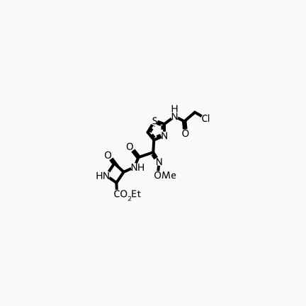 CCOC(=O)C1NC(=O)C1NC(=O)/C(=N\OC)c1csc(NC(=O)CCl)n1